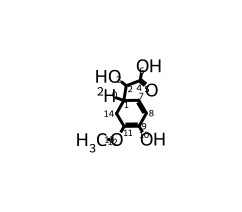 [2H]C1(C(O)C(=O)O)C=CC(O)=C(OC)C1